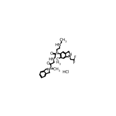 CCNCCN(C(=O)CNCC(=O)N(C)N1Cc2ccccc2C1)c1cc2cnn(CC(F)F)c2cc1C.Cl